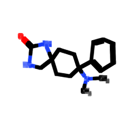 CN(C)C1(c2ccccc2)CCC2(CC1)CNC(=O)N2